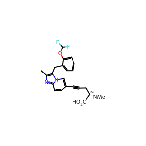 CN[C@@H](CC#Cc1ccc2nc(C)c(Cc3ccccc3OC(F)F)n2c1)C(=O)O